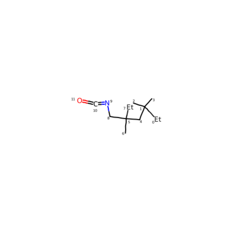 CCC(C)(C)CC(C)(CC)CN=C=O